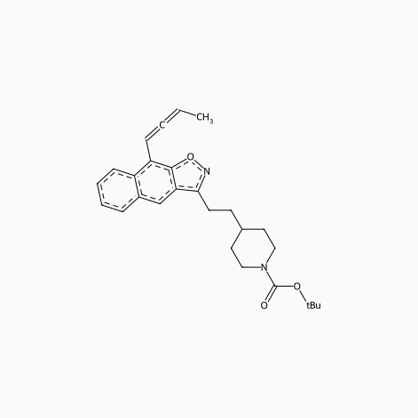 CC=C=Cc1c2ccccc2cc2c(CCC3CCN(C(=O)OC(C)(C)C)CC3)noc12